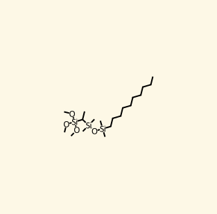 CCCCCCCCCC[Si](C)(C)O[Si](C)(C)C(C)[Si](OC)(OC)OC